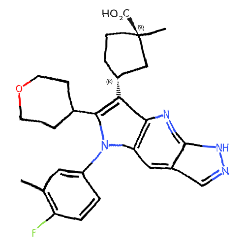 Cc1cc(-n2c(C3CCOCC3)c([C@@H]3CC[C@@](C)(C(=O)O)C3)c3nc4[nH]ncc4cc32)ccc1F